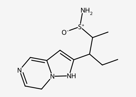 CCC(C1=CC2=CN=CCN2N1)C(C)[S+](N)[O-]